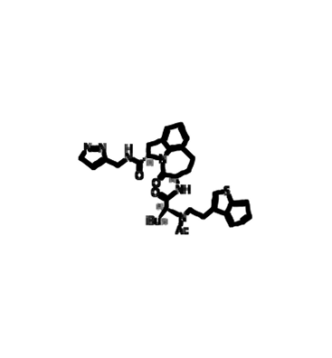 CC[C@H](C)[C@@H](C(=O)N[C@H]1CCc2cccc3c2N(C1=O)[C@H](C(=O)NCC1=CCN=N1)C3)N(CCc1csc2ccccc12)C(C)=O